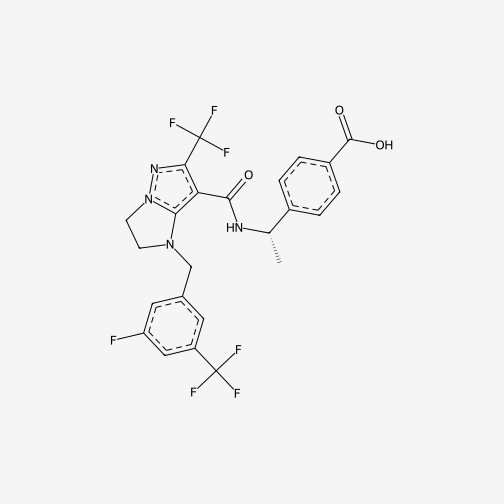 C[C@H](NC(=O)c1c(C(F)(F)F)nn2c1N(Cc1cc(F)cc(C(F)(F)F)c1)CC2)c1ccc(C(=O)O)cc1